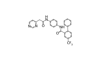 O=C(Cc1ccncn1)Nc1ccc(NC(=O)c2cc(C(F)(F)F)ccc2-c2ccccc2)cc1